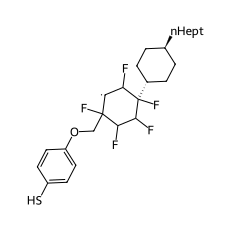 CCCCCCC[C@H]1CC[C@H](C2(F)C(F)[CH]C(F)(COc3ccc(S)cc3)C(F)C2F)CC1